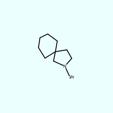 CC(C)N1CCC2(CCCCC2)C1